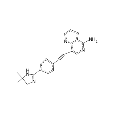 CC1(C)CN=C(c2ccc(C#Cc3cnc(N)c4cccnc34)cc2)N1